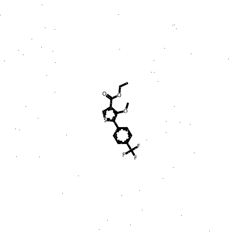 CCOC(=O)c1csc(-c2ccc(C(F)(F)F)cc2)c1OC